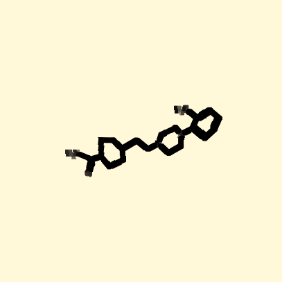 Cc1ccccc1N1CCN(CCC2CCC(C(N)=O)CC2)CC1